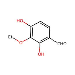 CCOc1c(O)ccc(C=O)c1O